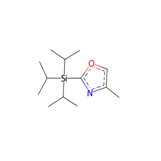 Cc1coc([Si](C(C)C)(C(C)C)C(C)C)n1